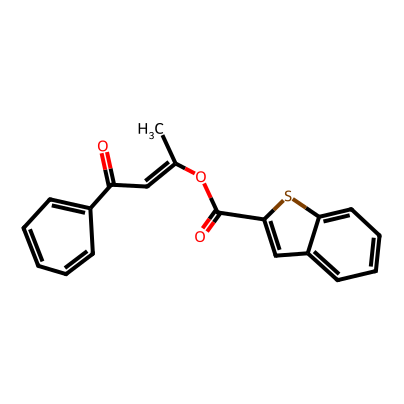 CC(=CC(=O)c1ccccc1)OC(=O)c1cc2ccccc2s1